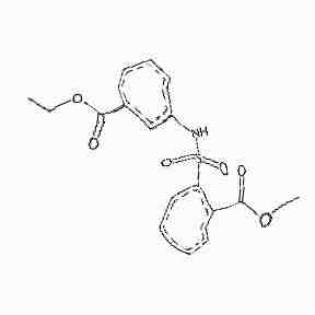 CCOC(=O)c1cccc(NS(=O)(=O)c2ccccc2C(=O)OC)c1